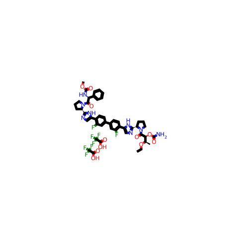 CCO[C@H](C)[C@H](OC(N)=O)C(=O)N1CCC[C@H]1c1ncc(-c2ccc(-c3ccc(-c4cnc([C@@H]5CCCN5C(=O)[C@H](NC(=O)OC)c5ccccc5)[nH]4)c(F)c3)cc2F)[nH]1.O=C(O)C(F)(F)F.O=C(O)C(F)(F)F